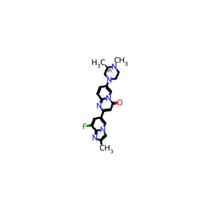 Cc1cn2cc(-c3cc(=O)n4cc(N5CCN(C)[C@H](C)C5)ccc4n3)cc(F)c2n1